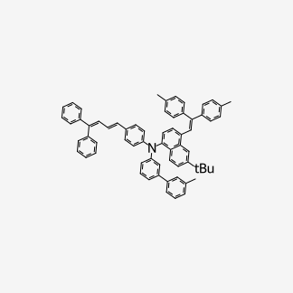 Cc1ccc(C(=Cc2ccc(N(c3ccc(/C=C/C=C(c4ccccc4)c4ccccc4)cc3)c3cccc(-c4cccc(C)c4)c3)c3ccc(C(C)(C)C)cc23)c2ccc(C)cc2)cc1